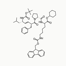 CC(C)C[C@@H](/C=C/[C@H](Cc1ccccc1)C(=O)N1CCC[C@@H]1C(=O)NC(CCCCNC(=O)OCC1c2ccccc2-c2ccccc21)C(=O)OC1CCCCC1)NC(=O)OC(C)(C)C